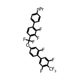 CCCc1ccc(-c2ccc(C(F)(F)Oc3ccc(-c4cc(F)c(C(F)(F)F)c(F)c4)c(F)c3)c(F)c2F)cc1